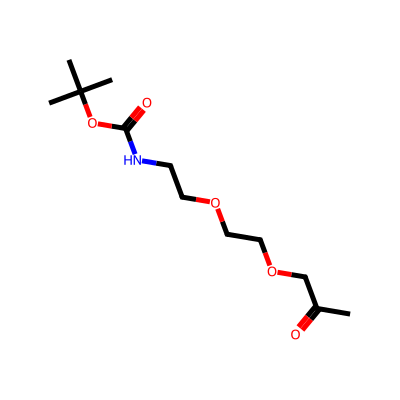 CC(=O)COCCOCCNC(=O)OC(C)(C)C